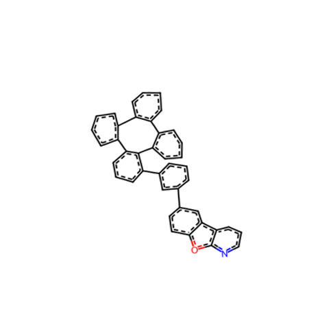 c1cc(-c2ccc3oc4ncccc4c3c2)cc(-c2cccc3c2-c2ccccc2-c2ccccc2-c2ccccc2-3)c1